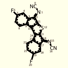 N#C/N=c1\c2cc(F)ccc2c2c1sc1/c(=N/C#N)c3cc(F)ccc3c12